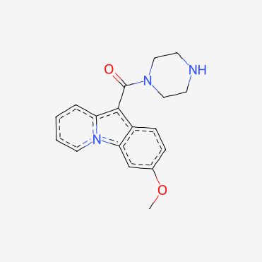 COc1ccc2c(C(=O)N3CCNCC3)c3ccccn3c2c1